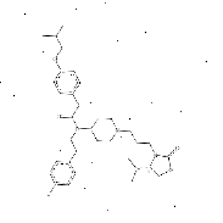 CC(C)COc1ccc(CC(=O)N(CCc2ccc(F)cc2)C2CCN(CCCN3C(=O)OC[C@@H]3C(C)C)CC2)cc1